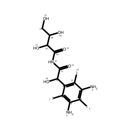 Nc1c(I)c(N)c(I)c(C(O)C(=O)NC(=O)C(O)C(O)CO)c1I